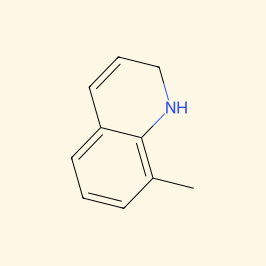 Cc1cccc2c1NCC=C2